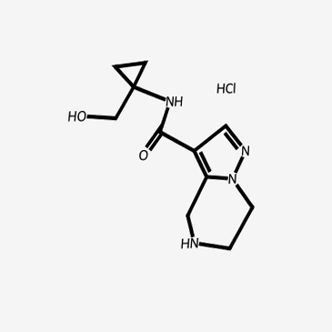 Cl.O=C(NC1(CO)CC1)c1cnn2c1CNCC2